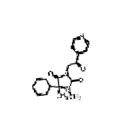 CN1C(=O)N(CC(=O)c2ccncc2)C(=O)C1(C)C1CCCCC1